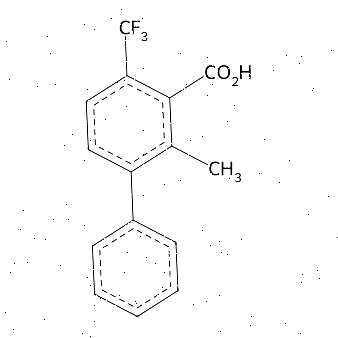 Cc1c(-c2ccccc2)ccc(C(F)(F)F)c1C(=O)O